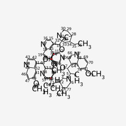 CCC1CN(C(C)[C@H](Oc2nc(O[C@@H](c3ccnc4ccc(OC)cc34)C3CC4CC[N@]3CCC4CC)cc(O[C@@H](c3ccnc4ccc(OC)cc34)C3CC4CC[N@@]3C[C@@H]4CC)n2)c2ccnc3ccc(OC)cc23)CCC1C